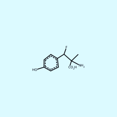 CC(N)(C(=O)O)C(F)c1ccc(O)cc1